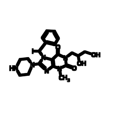 Cn1c(=O)n(CC(O)CO)c(=O)c2c1nc(N1CCNCC1)n2C(I)c1ccccc1